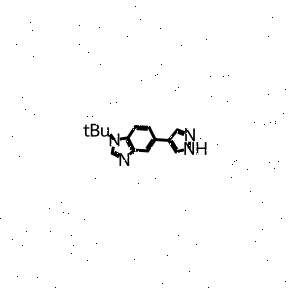 CC(C)(C)n1cnc2cc(-c3cn[nH]c3)ccc21